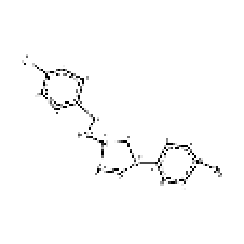 N#Cc1ccc(CNN2CN(c3ccc(Br)cc3)C=N2)cc1